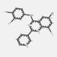 Fc1ccc(Nc2nc(-c3cccnc3)nc3c(F)cc(Br)cc23)cc1F